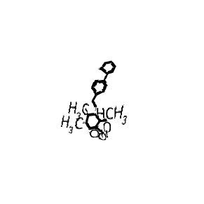 C[C@H]1[C@H](/C=C/c2ccc(-c3ccccc3)cc2)[C@@H]2[C@@H](C)OC(=O)[C@]2(O)C[C@@H]1C